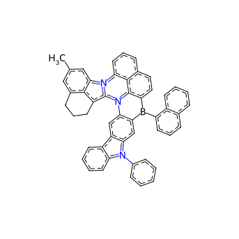 Cc1cc2c3c(c4n5c6c(ccc7cccc(c76)n4c3c1)B(c1cccc3ccccc13)c1cc3c(cc1-5)c1ccccc1n3-c1ccccc1)CCC2